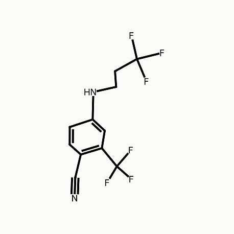 N#Cc1ccc(NCCC(F)(F)F)cc1C(F)(F)F